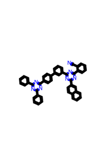 N#Cc1ccccc1-c1nc(-c2cccc(-c3ccc(-c4nc(-c5ccccc5)nc(-c5ccccc5)n4)cc3)c2)nc(-c2ccc3ccccc3c2)n1